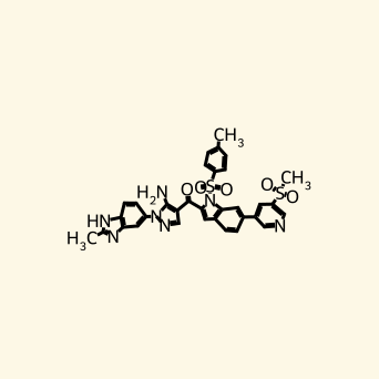 Cc1ccc(S(=O)(=O)n2c(C(=O)c3cnn(-c4ccc5[nH]c(C)nc5c4)c3N)cc3ccc(-c4cncc(S(C)(=O)=O)c4)cc32)cc1